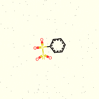 O=[SH](=O)S(=O)(=O)c1[c]cccc1